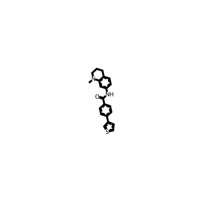 CN1CCCc2ccc(NC(=O)c3ccc(-c4ccsc4)cc3)cc21